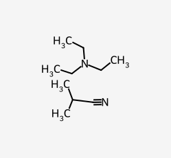 CC(C)C#N.CCN(CC)CC